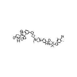 CCN(C1CCN(c2ccc(C(=O)NC3C(C)(C)C(Oc4cc(C)c(C#N)c(C)c4)C3(C)C)cc2)CC1)C1CC(Oc2ccc3c(c2)C(=O)N([C@@H]2CCC(=O)NC2=O)C3=O)C1